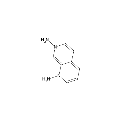 NN1C=CC2=CC=CN(N)C2=C1